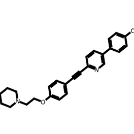 Clc1ccc(-c2ccc(C#Cc3ccc(OCCN4CCCCC4)cc3)nc2)cc1